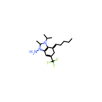 CCCCC=C1CC(C(F)(F)F)=CC2=C1N(C(C)C)C(C)N2N